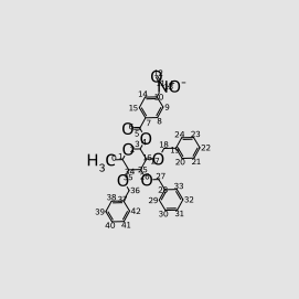 CC1OC(OC(=O)c2ccc([N+](=O)[O-])cc2)C(OCc2ccccc2)C(OCc2ccccc2)C1OCc1ccccc1